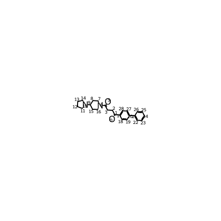 O=C(CCC(=O)N1CCC(N2CCCC2)CC1)c1ccc(-c2ccccc2)cc1